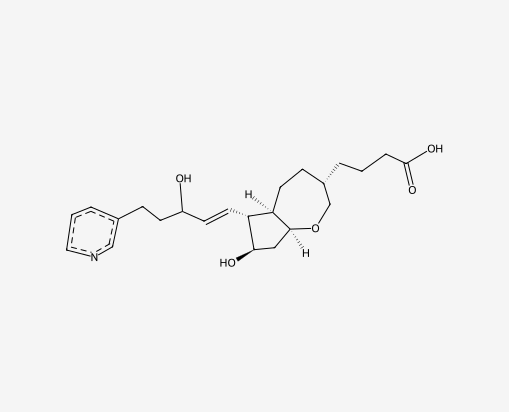 O=C(O)CCC[C@H]1CC[C@@H]2[C@@H](C=CC(O)CCc3cccnc3)[C@H](O)C[C@@H]2OC1